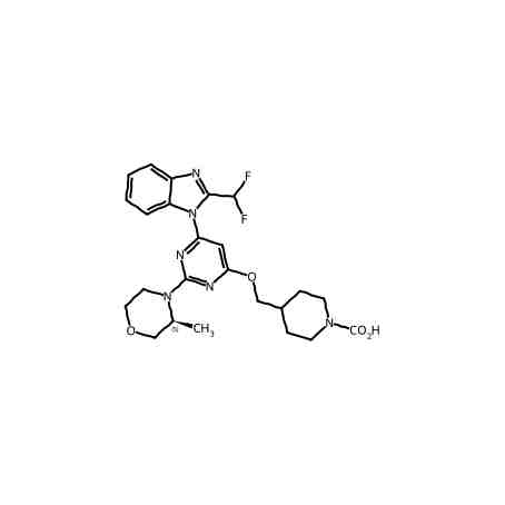 C[C@H]1COCCN1c1nc(OCC2CCN(C(=O)O)CC2)cc(-n2c(C(F)F)nc3ccccc32)n1